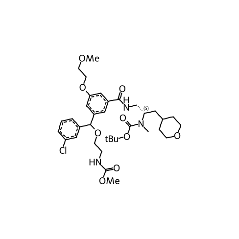 COCCOc1cc(C(=O)NC[C@H](CC2CCOCC2)N(C)C(=O)OC(C)(C)C)cc(C(OCCNC(=O)OC)c2cccc(Cl)c2)c1